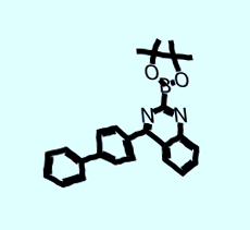 CC1(C)OB(c2nc(-c3ccc(-c4ccccc4)cc3)c3ccccc3n2)OC1(C)C